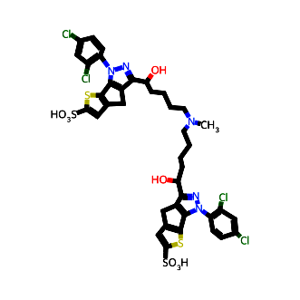 CN(CCCCC(O)c1nn(-c2ccc(Cl)cc2Cl)c2c1Cc1cc(S(=O)(=O)O)sc1-2)CCCCC(O)c1nn(-c2ccc(Cl)cc2Cl)c2c1Cc1cc(S(=O)(=O)O)sc1-2